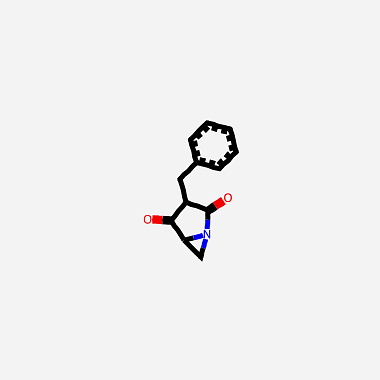 O=C1C(Cc2ccccc2)C(=O)N2CC12